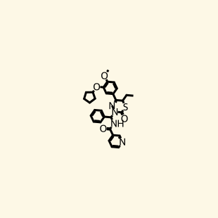 CCC1SC(=O)N(C(NC(=O)c2cccnc2)c2ccccc2)N=C1c1ccc(OC)c(OC2CCCC2)c1